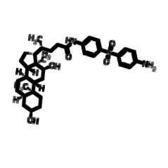 C[C@H](CCC(=O)Nc1ccc(S(=O)(=O)c2ccc(N)cc2)cc1)[C@H]1CC[C@H]2[C@@H]3CC[C@@H]4C[C@H](O)CC[C@]4(C)[C@H]3C[C@H](O)[C@]12C